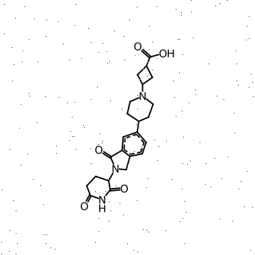 O=C1CCC(N2Cc3ccc(C4CCN(C5CC(C(=O)O)C5)CC4)cc3C2=O)C(=O)N1